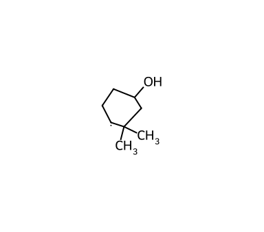 CC1(C)[CH]CCC(O)C1